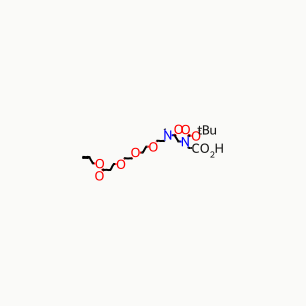 C=CCOC(=O)CCOCCOCCOCCN(C)C(=O)CN(CC(=O)O)C(=O)OC(C)(C)C